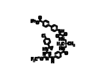 CC(C)OC(=O)c1ccc(-c2ccc(NC(=O)C(=O)NCC(C)(C)CNC(=O)c3ccc(Nc4nc(NC5(c6ccc(Cl)cc6)CC5)nc(OCC(F)(F)F)n4)cc3)cc2)cc1